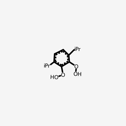 CC(C)c1ccc(C(C)C)c(OO)c1OO